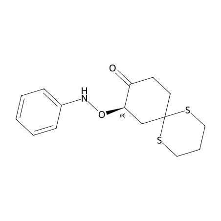 O=C1CCC2(C[C@H]1ONc1ccccc1)SCCCS2